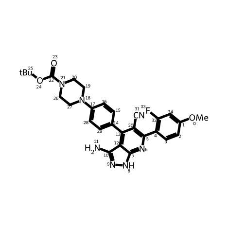 COc1ccc(-c2nc3[nH]nc(N)c3c(-c3ccc(N4CCN(C(=O)OC(C)(C)C)CC4)cc3)c2C#N)c(F)c1